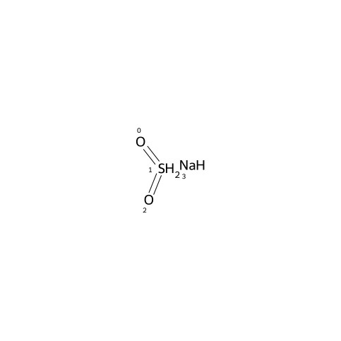 O=[SH2]=O.[NaH]